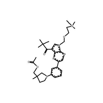 CC(=O)OCC1(C)CCN(c2cccc(-c3cnc4c(n3)c(C(=O)C(C)(C)C)cn4COCC[Si](C)(C)C)c2)C1